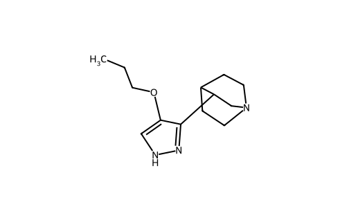 CCCOc1c[nH]nc1C1CN2CCC1CC2